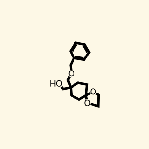 OCC1(COCc2ccccc2)CCC2(CC1)OCCO2